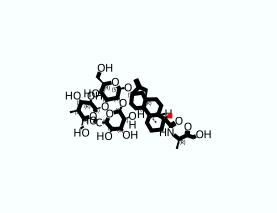 C=C1C[C@@]23CC[C@H]4[C@@](C)(CCC[C@@]4(C)C(=O)N[C@H](C)C(=O)CO)[C@@H]2CC[C@]1(O[C@@H]1O[C@H](CO)[C@@H](O)[C@H](O[C@@H]2O[C@H](CO)[C@@H](C)[C@H](O)[C@H]2O)[C@H]1O[C@@H]1O[C@H](CO)[C@@H](O)[C@H](O)[C@H]1O)C3